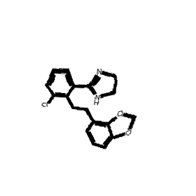 Clc1cccc(C2=NCCN2)c1CCc1cccc2c1OCO2